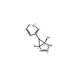 C/C=C\C(=CCC)C1[C@@H]2NN=NC12C